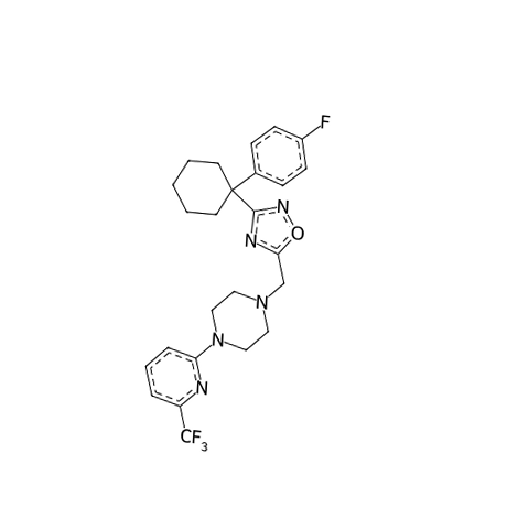 Fc1ccc(C2(c3noc(CN4CCN(c5cccc(C(F)(F)F)n5)CC4)n3)CCCCC2)cc1